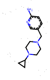 Nc1ccc(CN2CCN(C3CC3)CC2)cn1